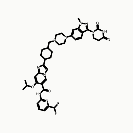 CC(C)Oc1cc2nc(C3CCC(CN4CCN(c5ccc6c(N7CCC(=O)NC7=O)nn(C)c6c5)CC4)CC3)cn2cc1C(=O)Nc1cccc(C(F)F)n1